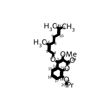 COc1c(OCC=C(C)CCC=C(C)C)c2cccc(OC(C)C)c2oc1=O